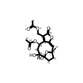 CC(=O)OCC1=C2/C(=C\[C@]3(C)CC[C@@](O)(O3)[C@](C)(O)C[C@H]2OC(C)=O)OC1=O